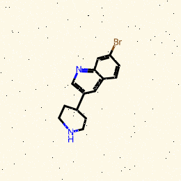 Brc1ccc2cc(C3CCNCC3)cnc2c1